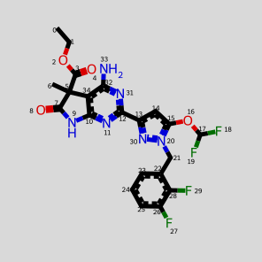 CCOC(=O)C1(C)C(=O)Nc2nc(-c3cc(OC(F)F)n(Cc4cccc(F)c4F)n3)nc(N)c21